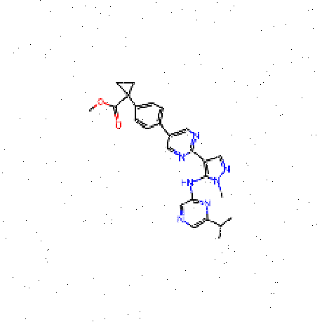 COC(=O)C1(c2ccc(-c3cnc(-c4cnn(C)c4Nc4cncc(C(C)C)n4)nc3)cc2)CC1